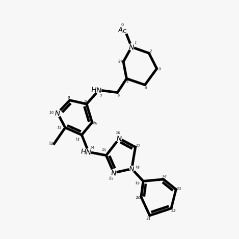 CC(=O)N1CCCC(CNc2cnc(C)c(Nc3ncn(-c4ccccc4)n3)c2)C1